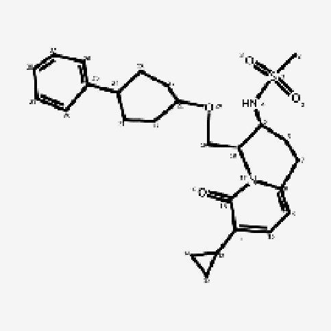 CS(=O)(=O)N[C@H]1CCc2ccc(C3CC3)c(=O)n2[C@H]1COC1CCC(c2ccccc2)CC1